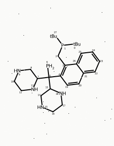 CC(C)(C)P(Cc1c(C(P)(C2CNCCN2)C2CNCCN2)ccc2ccccc12)C(C)(C)C